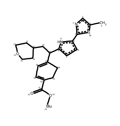 Cc1cnc(-c2ccc(C(CC3CCOCC3)C3=CC=C(C(=O)OC(C)(C)C)CC3)[nH]2)s1